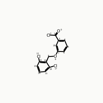 O=C(Cl)c1cccc(OCc2c(Cl)cccc2Cl)c1